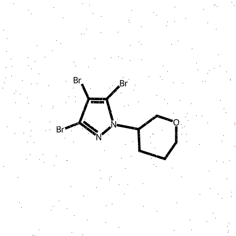 Brc1nn(C2CCCOC2)c(Br)c1Br